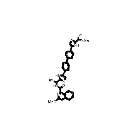 CNC(c1ncc(-c2ccc(-c3ccc(-c4cnc(C(NC(=O)c5nc(OC)cc6ccccc56)C(C)C)[nH]4)cc3)cc2)[nH]1)C(C)C